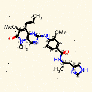 CC=Cc1c(OC)c(=O)n(C)c2cnc(Nc3ccc(C(=O)N[C@@H](C)Cc4c[nH]cn4)cc3OC)nc12